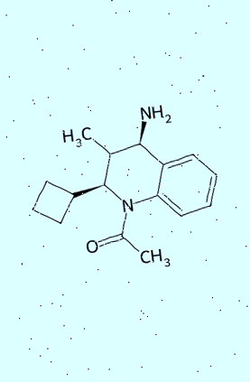 CC(=O)N1c2ccccc2[C@H](N)C(C)[C@@H]1C1CCC1